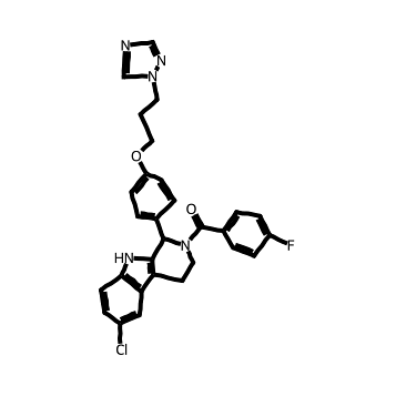 O=C(c1ccc(F)cc1)N1CCc2c([nH]c3ccc(Cl)cc23)C1c1ccc(OCCCn2cncn2)cc1